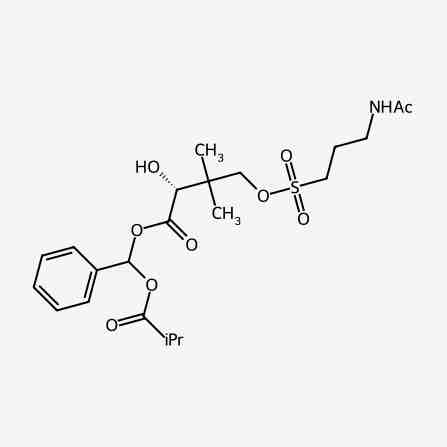 CC(=O)NCCCS(=O)(=O)OCC(C)(C)[C@@H](O)C(=O)OC(OC(=O)C(C)C)c1ccccc1